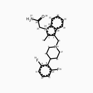 Cc1c(CN2CCC(c3c(F)cccc3F)CC2)c2ccccc2n1CC(N)=O